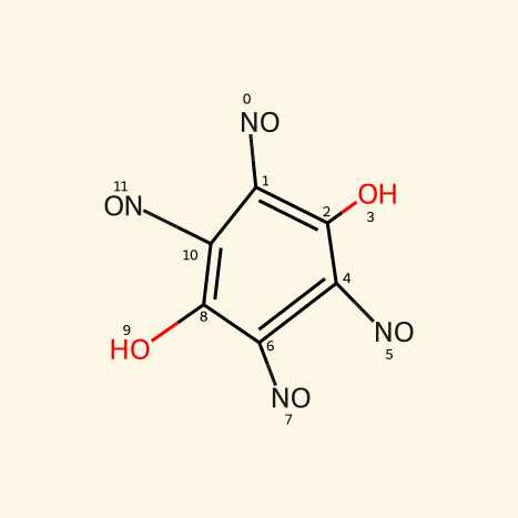 O=Nc1c(O)c(N=O)c(N=O)c(O)c1N=O